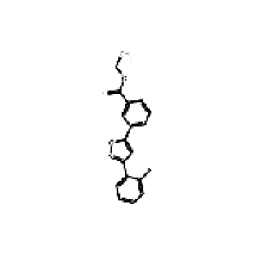 CCOC(=O)c1cccc(-c2cc(-c3ccccc3F)no2)c1